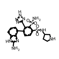 Nc1nc2c(-c3ccc(S(=O)(=O)NC4CCNC4)c(S(N)(=O)=O)c3-c3nn[nH]n3)cccc2[nH]1